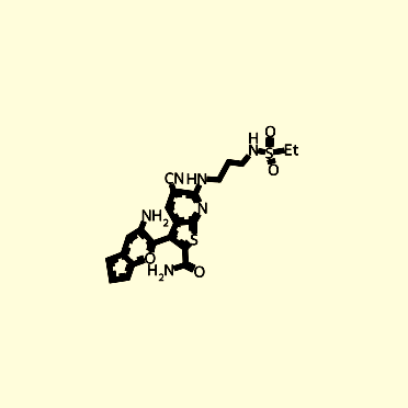 CCS(=O)(=O)NCCCNc1nc2sc(C(N)=O)c(-c3oc4cccc-4cc3N)c2cc1C#N